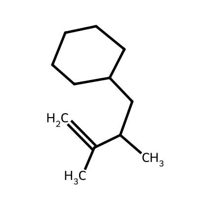 C=C(C)C(C)CC1CCCCC1